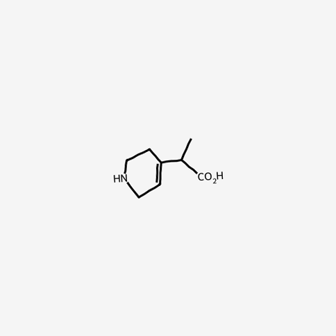 CC(C(=O)O)C1=CCNCC1